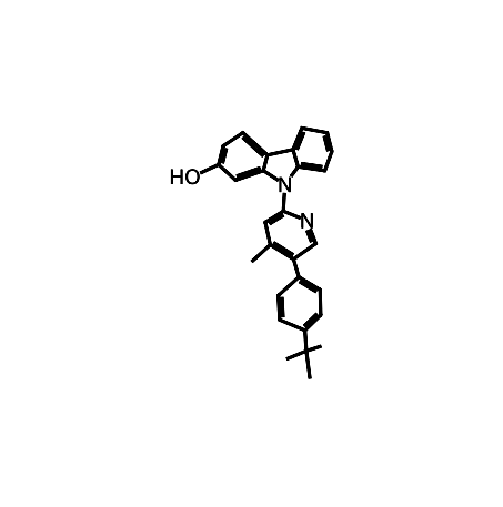 Cc1cc(-n2c3ccccc3c3ccc(O)cc32)ncc1-c1ccc(C(C)(C)C)cc1